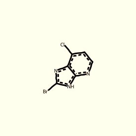 Clc1ccnc2[nH]c(Br)nc12